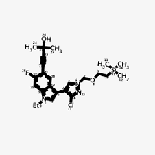 CCn1cc(-c2cn(COCC[Si](C)(C)C)nc2Cl)c2cc(C#CC(C)(C)O)c(F)cc21